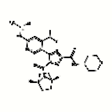 CC[C@H](Nc1cc(C(F)F)c(-c2sc(C(=O)NC3CCOCC3)nc2C(=O)N2[C@H]3CC[C@@H]2CC3)cn1)C(F)(F)F